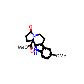 COC(=O)C12CCC(=O)N1CCc1c2[nH]c2ccc(OC)cc12